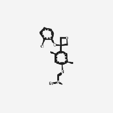 CCN(C)C=Nc1cc(C)c(C2(Oc3ccccc3Cl)COC2)cc1C